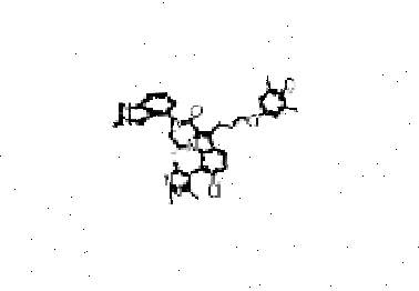 Cc1cc(OCCCc2c3n(c4c(-c5c(C)nn(C)c5C)c(Cl)ccc24)[C@H](C)CN(c2cccc4nn(C)cc24)C3=O)cc(C)c1Cl